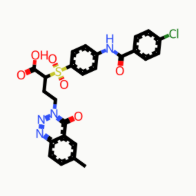 Cc1ccc2nnn(CCC(C(=O)O)S(=O)(=O)c3ccc(NC(=O)c4ccc(Cl)cc4)cc3)c(=O)c2c1